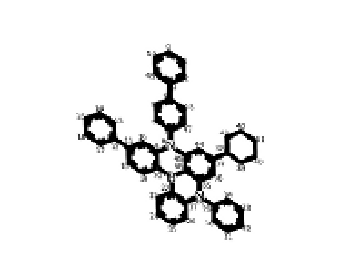 c1ccc(-c2ccc(N3c4cc(-c5ccccc5)ccc4B4c5ccccc5N(c5ccccc5)c5cc(C6CCCCC6)cc3c54)cc2)cc1